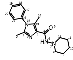 Cc1nc(C(=O)NN2CCCCC2)c(C)n1-c1ccccc1